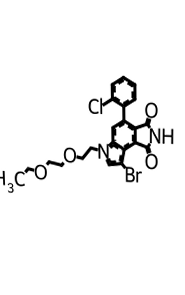 CCOCCOCCn1cc(Br)c2c3c(c(-c4ccccc4Cl)cc21)C(=O)NC3=O